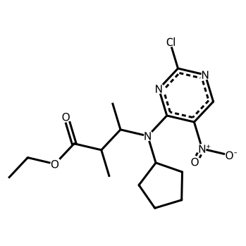 CCOC(=O)C(C)C(C)N(c1nc(Cl)ncc1[N+](=O)[O-])C1CCCC1